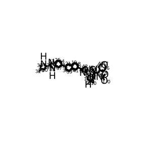 COC(=O)N[C@H](C(=O)N1C2C[C@@H]2C[C@H]1c1nc(-c2ccc3cc(-c4ccc5nc([C@@H]6C[C@@H](C)CN6)[nH]c5c4)ccc3c2)c[nH]1)C1CCOCC1